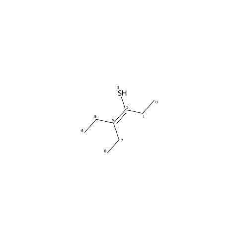 CCC(S)=C(CC)CC